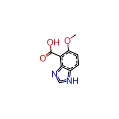 COc1ccc2[nH]cnc2c1C(=O)O